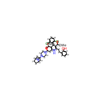 COC(=O)C1=C(CCc2ccccc2O)NC(CC(=O)N2CCN(C3CC4CCC(C3)N4C)CC2)=C(C(=O)OC)C1c1c(Cl)cccc1Cl